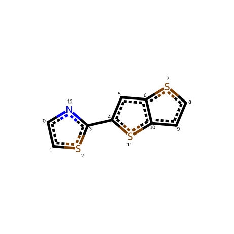 c1csc(-c2cc3sccc3s2)n1